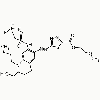 CCCCN1c2cc(NS(=O)(=O)CC(F)(F)F)c(N=Nc3nnc(C(=O)OCCOC)s3)cc2CCC1CC